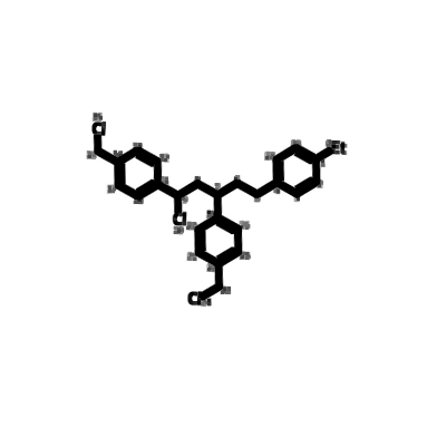 CCc1ccc(CCC(CC(Cl)c2ccc(CCl)cc2)c2ccc(CCl)cc2)cc1